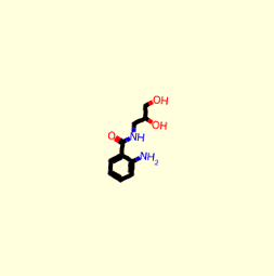 Nc1ccccc1C(=O)NCC(O)CO